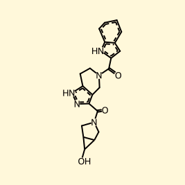 O=C(c1cc2ccccc2[nH]1)N1CCc2[nH]nc(C(=O)N3CC4C(O)C4C3)c2C1